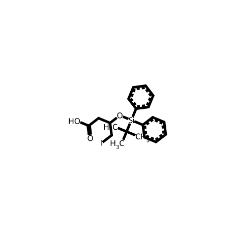 CC(C)(C)[Si](OC(CI)CC(=O)O)(c1ccccc1)c1ccccc1